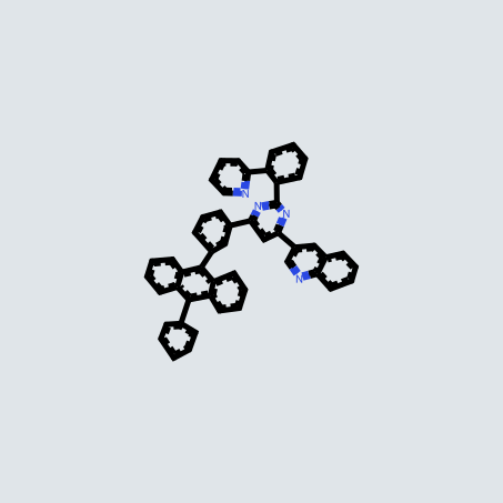 c1ccc(-c2c3ccccc3c(-c3cccc(-c4cc(-c5cnc6ccccc6c5)nc(-c5ccccc5-c5ccccn5)n4)c3)c3ccccc23)cc1